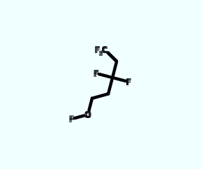 FOCCC(F)(F)CC(F)(F)F